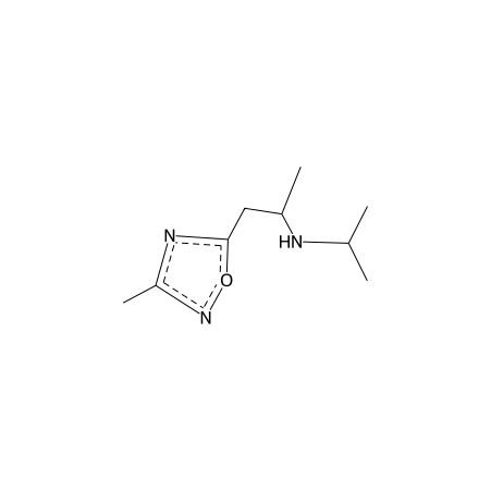 Cc1noc(CC(C)NC(C)C)n1